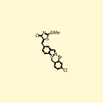 CSC1=NC(=O)C(=Cc2ccc3c(cnn3Cc3ccc(Cl)cc3Br)c2)S1